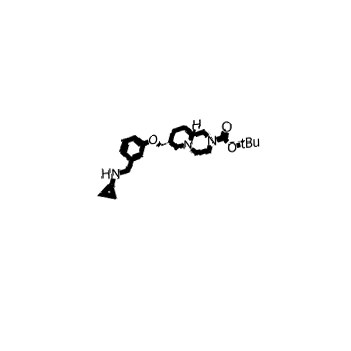 CC(C)(C)OC(=O)N1CCN2C[C@H](COc3cccc(CNC4CC4)c3)CC[C@@H]2C1